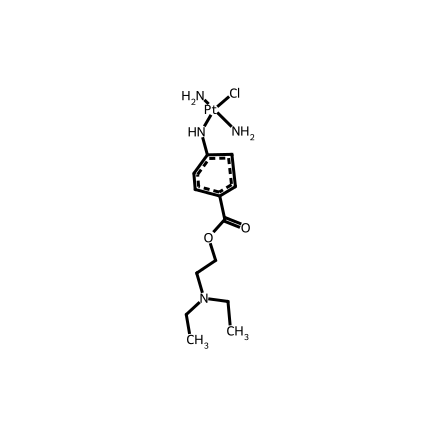 CCN(CC)CCOC(=O)c1ccc([NH][Pt]([NH2])([NH2])[Cl])cc1